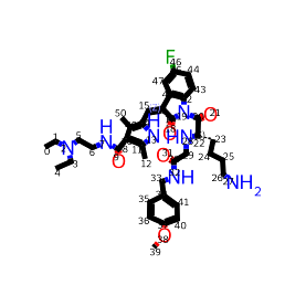 CCN(CC)CCNC(=O)c1c(C)[nH]c(/C=C2\C(=O)N(C(=O)[C@H](CCCCN)NCC(=O)NCc3ccc(OC)cc3)c3ccc(F)cc32)c1C